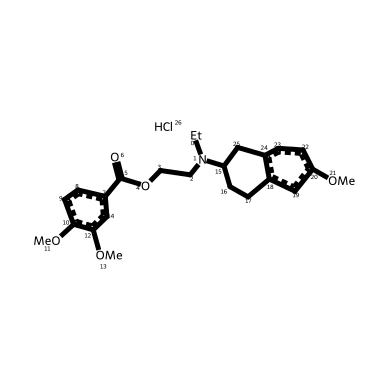 CCN(CCOC(=O)c1ccc(OC)c(OC)c1)C1CCc2cc(OC)ccc2C1.Cl